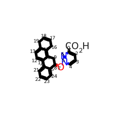 O=C(O)c1cccnn1.O=C1Cc2c(ccc3c2CC=CC3)-c2ccccc21